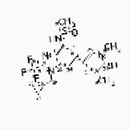 Cc1cc(-c2cc(N[S+](C)[O-])c3nc(C(F)(F)F)n(CC4CC4)c3c2)cn(C)c1=O